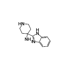 NC1(c2nc3ccccc3[nH]2)CCNCC1